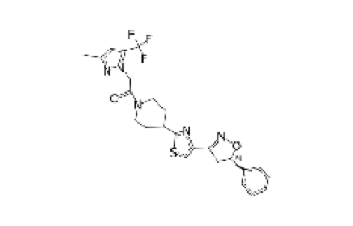 Cc1cc(C(F)(F)F)n(CC(=O)N2CCC(c3nc(C4=NO[C@@H](c5ccccc5)C4)cs3)CC2)n1